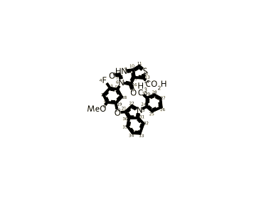 COc1cc(F)c(-n2c(=O)[nH]c3csc(C(=O)O)c3c2=O)cc1Oc1cn(-c2ccccc2C)c2ccccc12